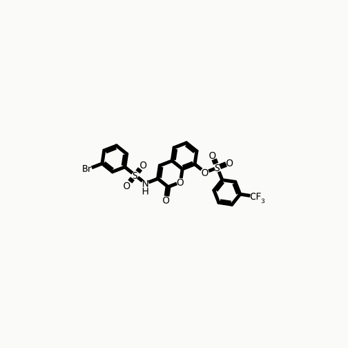 O=c1oc2c(OS(=O)(=O)c3cccc(C(F)(F)F)c3)cccc2cc1NS(=O)(=O)c1cccc(Br)c1